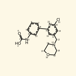 O=C(O)Nc1cccc(-c2cc(CN3CCOCC3)cc(Cl)n2)c1